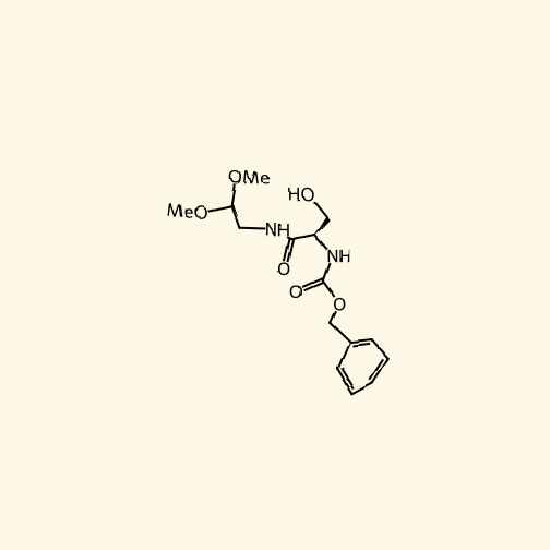 COC(CNC(=O)[C@@H](CO)NC(=O)OCc1ccccc1)OC